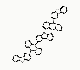 C1=CC2c3cc(-c4c5ccccc5c(-c5ccc6sc7ccccc7c6c5)c5ccccc45)ccc3OC2C(c2c3ccccc3c(-c3ccc4sc5ccccc5c4c3)c3ccccc23)=C1